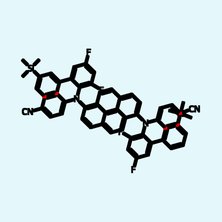 [C-]#[N+]c1ccc(N(c2c(F)cc(F)cc2-c2cccc([Si](C)(C)C)c2)c2ccc3ccc4c(N(c5ccc(C#N)cc5)c5c(F)cc(F)cc5-c5cccc([Si](C)(C)C)c5)ccc5ccc2c3c54)cc1